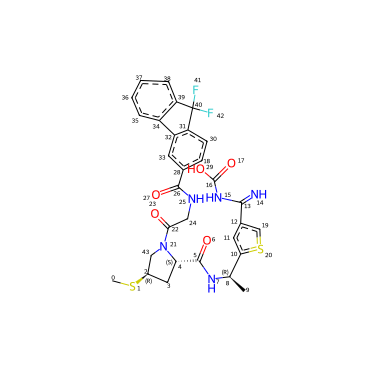 CS[C@@H]1C[C@@H](C(=O)N[C@H](C)c2cc(C(=N)NC(=O)O)cs2)N(C(=O)CNC(=O)c2ccc3c(c2)-c2ccccc2C3(F)F)C1